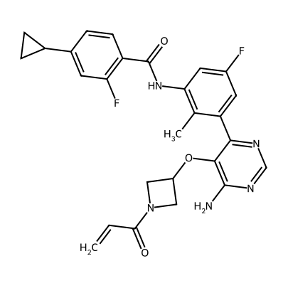 C=CC(=O)N1CC(Oc2c(N)ncnc2-c2cc(F)cc(NC(=O)c3ccc(C4CC4)cc3F)c2C)C1